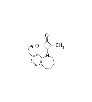 Cc1c(N2CCCCc3ccc(CC(C)C)cc32)c(=O)c1=O